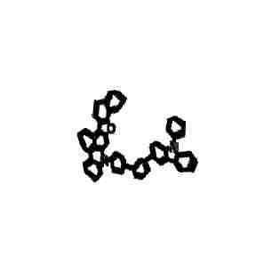 c1ccc(-c2ccccc2N(c2ccc(-c3cccc(-c4ccc5c(c4)c4ccccc4n5-c4ccccc4)c3)cc2)c2ccc3c(c2)oc2c4ccccc4ccc32)cc1